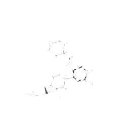 CC(C)(C)OC(=O)N[C@@]1(C)CCCN(c2cc(Cl)ncc2CCC2CCOCC2)C1